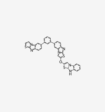 C1=C(Oc2cn3c(nc4ccc(-c5cccc(-c6ccc7nc8sccn8c7c6)c5)cc43)s2)SC2Nc3ccccc3N12